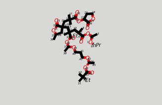 CCCOC(C)OC(=O)C(C)(CC)CC(C)(CC1(CC(C)(C)C(=O)OC2CCOC2=O)CC(C)OC1=O)C(=O)OC(C)OCCCOC(C)OC(=O)C(C)(C)CC